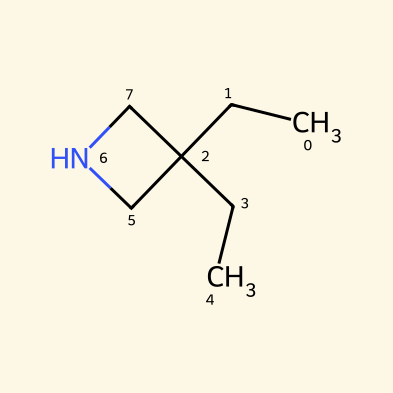 CCC1(CC)CNC1